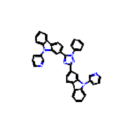 c1ccc(-n2nc(-c3ccc4c5ccccc5n(-c5cccnc5)c4c3)nc2-c2ccc3c4ccccc4n(-c4cccnc4)c3c2)cc1